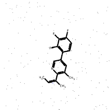 C/C=C(/C)c1ncc(-c2ccc(F)c(F)c2F)cc1C